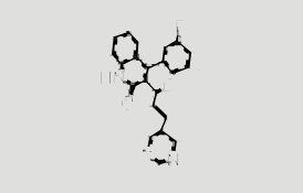 O=C(/C=C/c1cncnc1)c1c(-c2cccc(F)c2)c2ccccc2[nH]c1=O